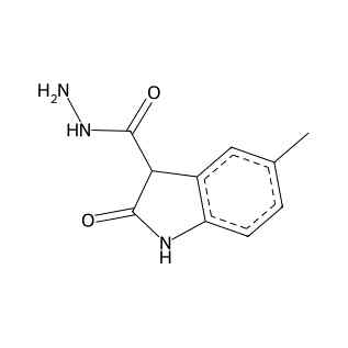 Cc1ccc2c(c1)C(C(=O)NN)C(=O)N2